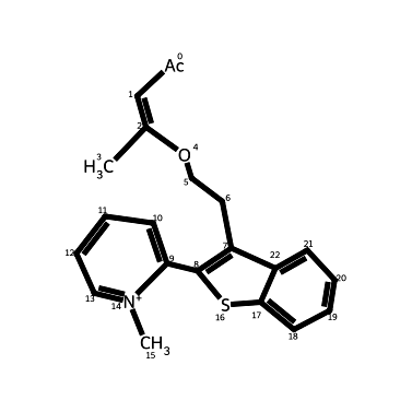 CC(=O)/C=C(/C)OCCc1c(-c2cccc[n+]2C)sc2ccccc12